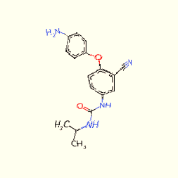 CC(C)NC(=O)Nc1ccc(Oc2ccc(N)cc2)c(C#N)c1